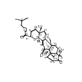 CC(C)COC(=O)[C@@]1(C)CC[C@]2(C)CC[C@]3(C)C(=CC(=O)[C@@H]4[C@@]5(C)CCC(=O)C(C)(C)[C@@H]5CC[C@]43C)[C@H]2C1